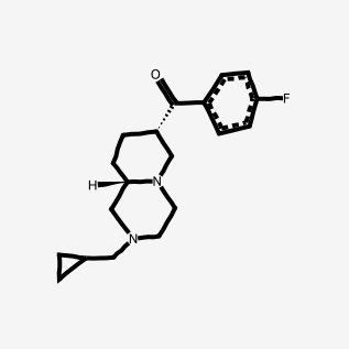 O=C(c1ccc(F)cc1)[C@H]1CC[C@H]2CN(CC3CC3)CCN2C1